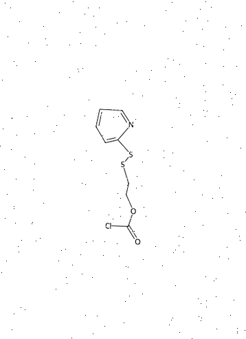 O=C(Cl)OCCSSc1ccccn1